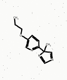 CCCOc1ccc(C2(C)C=NC=N2)nc1